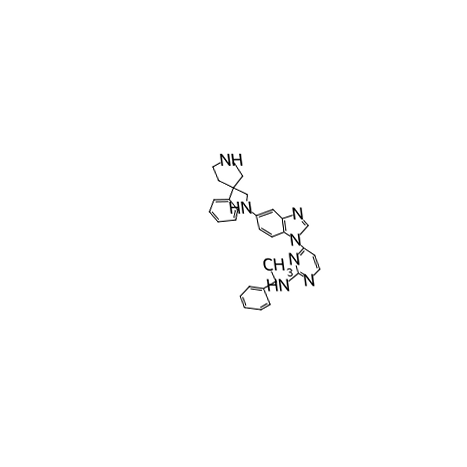 CC(Nc1nccc(-n2cnc3cc(NCC4(c5ccccc5)CCNCC4)ccc32)n1)c1ccccc1